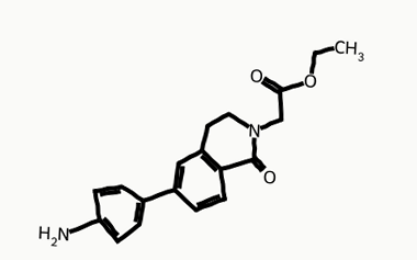 CCOC(=O)CN1CCc2cc(-c3ccc(N)cc3)ccc2C1=O